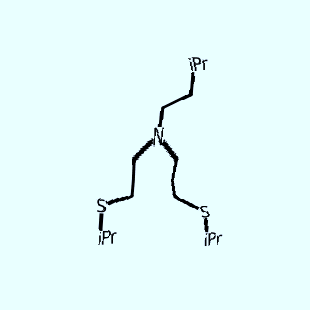 CC(C)CCN(CCSC(C)C)CCSC(C)C